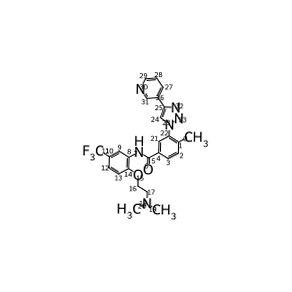 Cc1ccc(C(=O)Nc2cc(C(F)(F)F)ccc2OCCN(C)C)cc1-n1cc(-c2cccnc2)nn1